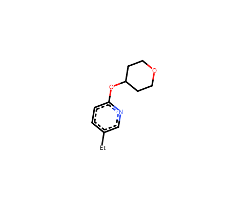 CCc1ccc(OC2CCOCC2)nc1